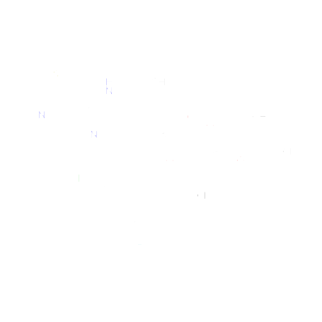 CC1=C(C(=O)OC(C)C(=O)OC(C)C)C(c2ccc(F)cc2Cl)N=C(c2nccs2)N1